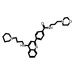 O=C(NCCCN1CCOCC1)c1ccc(-c2cc(NCCCN3CCCCC3)c3ccccc3n2)cc1